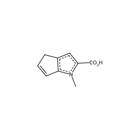 Cn1c(C(=O)O)cc2c1C=CC2